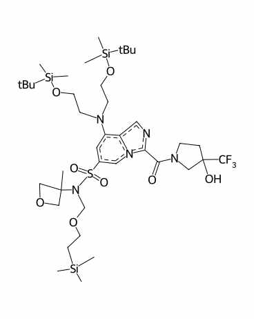 CC1(N(COCC[Si](C)(C)C)S(=O)(=O)c2cc(N(CCO[Si](C)(C)C(C)(C)C)CCO[Si](C)(C)C(C)(C)C)c3cnc(C(=O)N4CCC(O)(C(F)(F)F)C4)n3c2)COC1